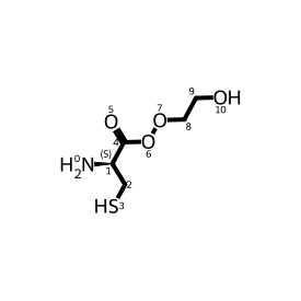 N[C@H](CS)C(=O)OOCCO